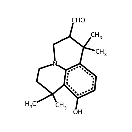 CC1(C)CCN2CC(C=O)C(C)(C)c3ccc(O)c1c32